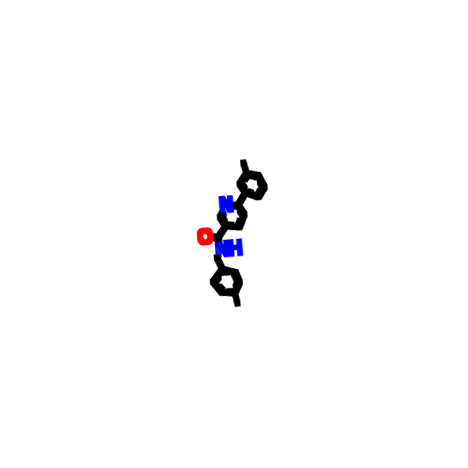 Cc1ccc(CNC(=O)c2ccc(-c3cccc(C)c3)nc2)cc1